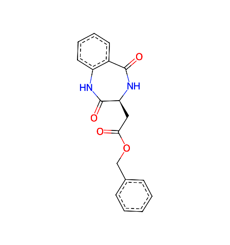 O=C(C[C@@H]1NC(=O)c2ccccc2NC1=O)OCc1ccccc1